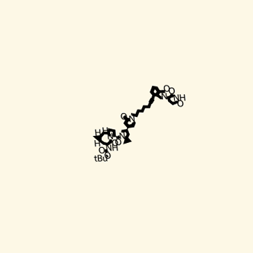 CC(C)(C)OC(=O)N[C@H]1C[C@@H]2C[C@@H]2C[C@H]2CC[C@@H](C(=O)N3C[C@@H](c4ccn(CCCCCCC#Cc5cccc6c5CN(C5CCC(=O)NC5=O)C6=O)c(=O)c4)CC34CC4)N2C1=O